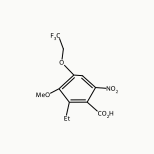 CCc1c(OC)c(OCC(F)(F)F)cc([N+](=O)[O-])c1C(=O)O